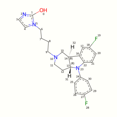 Oc1nccn1CCCCN1CC[C@@H]2[C@@H](C1)c1cc(F)ccc1N2c1ccc(F)cc1